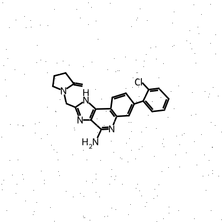 C=C1CCCN1Cc1nc2c(N)nc3cc(-c4ccccc4Cl)ccc3c2[nH]1